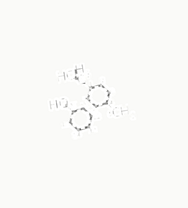 Cc1ccc(C)cc1.Cl.Oc1ccccc1